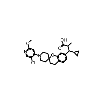 COc1cc(N2CCC3(CCc4ccc(C(C5CC5)C(C)C(=O)O)cc4O3)CC2)c(Cl)cn1